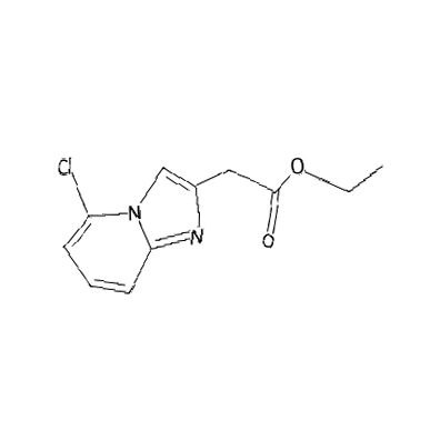 CCOC(=O)Cc1cn2c(Cl)cccc2n1